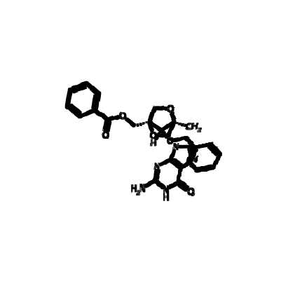 C[C@]12OC[C@](COC(=O)c3ccccc3)(O[C@H]1n1cnc3c(=O)[nH]c(N)nc31)[C@H]2OCc1ccccc1